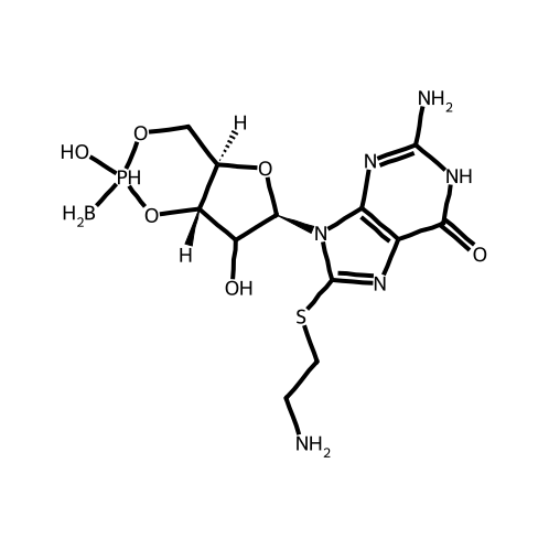 B[PH]1(O)OC[C@H]2O[C@@H](n3c(SCCN)nc4c(=O)[nH]c(N)nc43)C(O)[C@@H]2O1